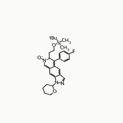 CC(C)(C)[Si](C)(C)OCCc1c(-c2ccc(F)cc2)c2cc3cnn(C4CCCCO4)c3cc2c[n+]1[O-]